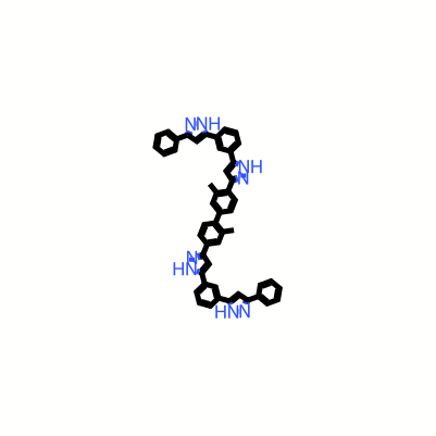 Cc1cc(-c2cc(-c3cccc(-c4cc(-c5ccccc5)n[nH]4)c3)[nH]n2)ccc1-c1ccc(-c2cc(-c3cccc(-c4cc(-c5ccccc5)n[nH]4)c3)[nH]n2)c(C)c1